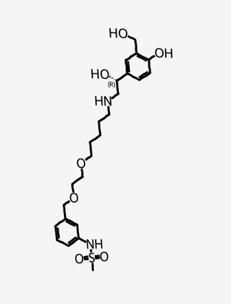 CS(=O)(=O)Nc1cccc(COCCOCCCCCNC[C@H](O)c2ccc(O)c(CO)c2)c1